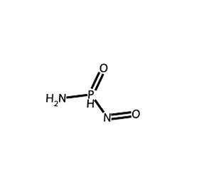 N[PH](=O)N=O